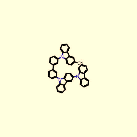 N#Cc1ccc2c(c1)c1ccccc1n2-c1cccc(-c2cccc(-n3c4ccccc4c4cc(-n5c6ccccc6c6ccccc65)ccc43)c2)c1